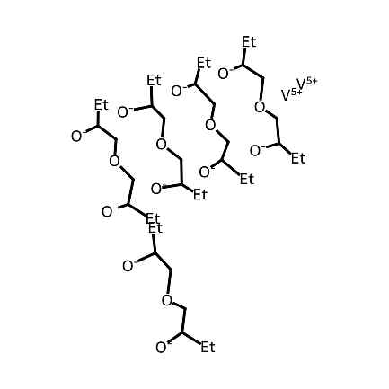 CCC([O-])COCC([O-])CC.CCC([O-])COCC([O-])CC.CCC([O-])COCC([O-])CC.CCC([O-])COCC([O-])CC.CCC([O-])COCC([O-])CC.[V+5].[V+5]